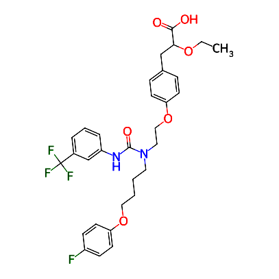 CCOC(Cc1ccc(OCCN(CCCCOc2ccc(F)cc2)C(=O)Nc2cccc(C(F)(F)F)c2)cc1)C(=O)O